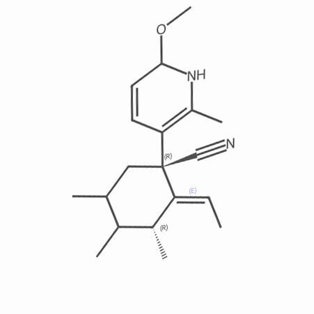 C/C=C1\[C@H](C)C(C)C(C)C[C@]1(C#N)C1=C(C)NC(OC)C=C1